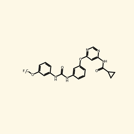 O=C(Nc1cccc(Oc2cc(NC(=O)C3CC3)ncn2)c1)Nc1cccc(OC(F)(F)F)c1